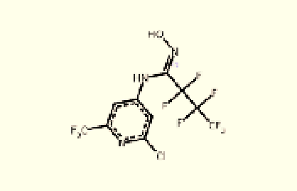 O/N=C(\Nc1cc(Cl)nc(C(F)(F)F)c1)C(F)(F)C(F)(F)C(F)(F)F